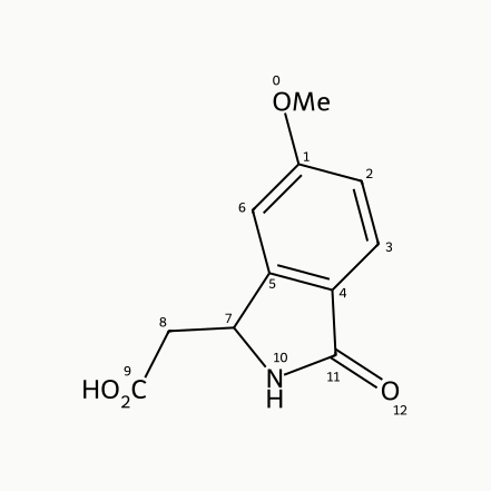 COc1ccc2c(c1)C(CC(=O)O)NC2=O